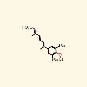 CCOc1c(C(C)(C)C)cc(/C(C)=C/C=C/C(C)=C/C(=O)O)cc1C(C)(C)C